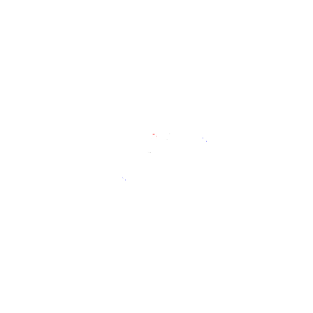 O=C(Oc1cccnc1C(=O)O)c1ccccn1